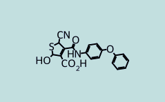 N#CC1SC(O)C(C(=O)O)=C1C(=O)Nc1ccc(Oc2ccccc2)cc1